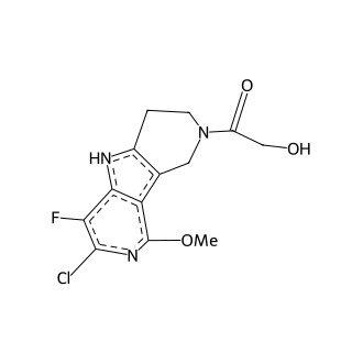 COc1nc(Cl)c(F)c2[nH]c3c(c12)CN(C(=O)CO)CC3